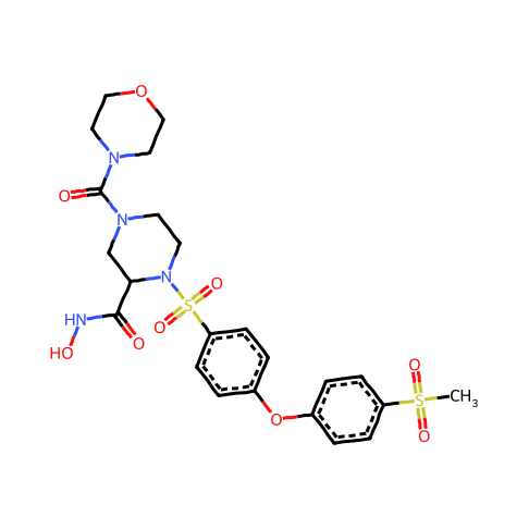 CS(=O)(=O)c1ccc(Oc2ccc(S(=O)(=O)N3CCN(C(=O)N4CCOCC4)CC3C(=O)NO)cc2)cc1